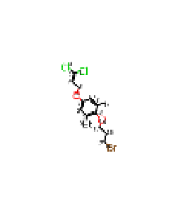 CCc1cc(OCC=C(Cl)Cl)cc(C)c1OCCCBr